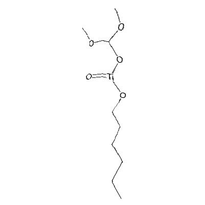 CCCCCC[O][Ti](=[O])[O]C(OC)OC